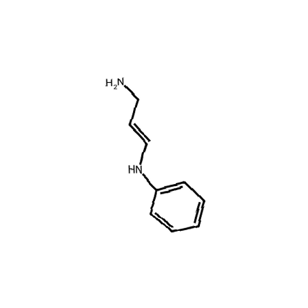 NCC=CNc1ccccc1